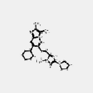 Cc1nc2cc(C3CCCCC3)c(CCc3nc(N4CCCC4)nn3C)nn2c1C